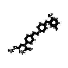 COCCN(C(C)=O)C1CCC(CCN2CCC(Cc3cc(F)ccc3Br)CC2)CC1